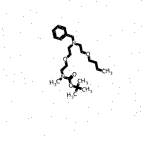 CCCCOCCN(CCOCCN(C)C(=O)OC(C)(C)C)Cc1ccccc1